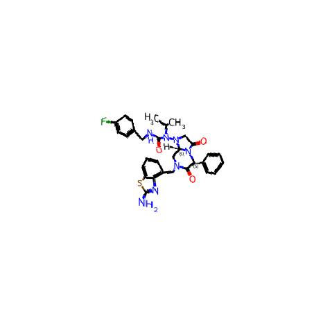 CC(C)N(C(=O)NCc1ccc(F)cc1)N1CC(=O)N2[C@@H](c3ccccc3)C(=O)N(Cc3cccc4sc(N)nc34)C[C@@H]21